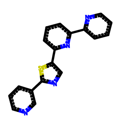 c1ccc(-c2cccc(-c3cnc(-c4cccnc4)s3)n2)nc1